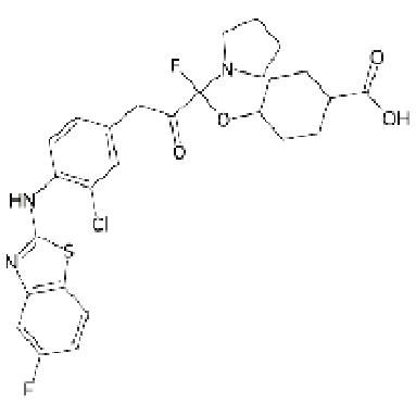 O=C(O)C1CCC(OC(F)(C(=O)Cc2ccc(Nc3nc4cc(F)ccc4s3)c(Cl)c2)N2CCCC2)CC1